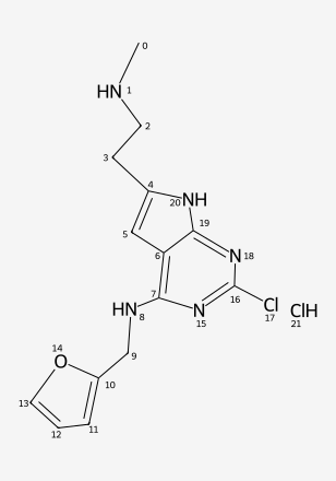 CNCCc1cc2c(NCc3ccco3)nc(Cl)nc2[nH]1.Cl